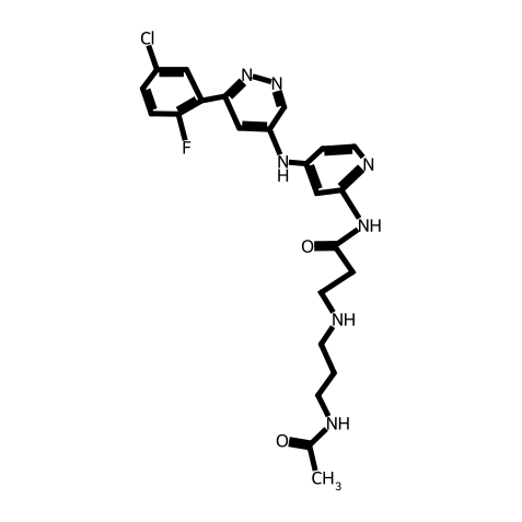 CC(=O)NCCCNCCC(=O)Nc1cc(Nc2cnnc(-c3cc(Cl)ccc3F)c2)ccn1